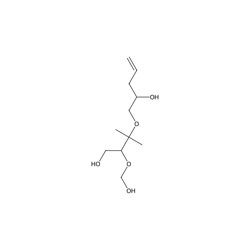 C=CCC(O)COC(C)(C)C(CO)OCO